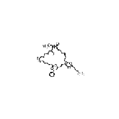 CCCCB1OC2CC(O1)C(C/C=C\CCCC(=O)N(CC)C(=O)CCCCCBr)C2/C=C/C(CCc1ccccc1)OC(=O)CCCCCBr